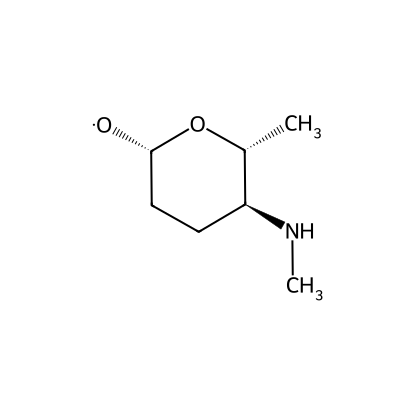 CN[C@H]1CC[C@H]([O])O[C@@H]1C